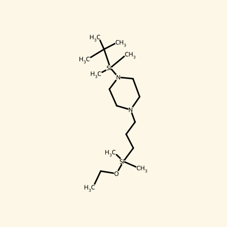 CCO[Si](C)(C)CCCN1CCN([Si](C)(C)C(C)(C)C)CC1